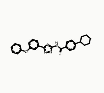 O=C(Nc1nnc(-c2cccc(Oc3ccccc3)c2)s1)c1ccc(C2CC[CH]CC2)cc1